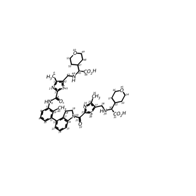 Cc1nc(C(=O)Nc2cccc(-c3cccc4c3CCN4C(=O)c3nc(C)c(CN[C@H](C(=O)O)C4CCOCC4)s3)c2C)sc1CN[C@H](C(=O)O)C1CCOCC1